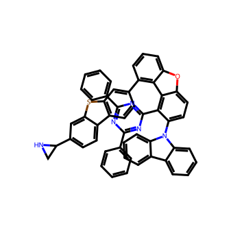 c1ccc(-c2nc(-c3ccccc3)nc(-c3c(-n4c5ccccc5c5ccccc54)ccc4oc5cccc(-c6ccc7c(c6)sc6cc(C8CN8)ccc67)c5c34)n2)cc1